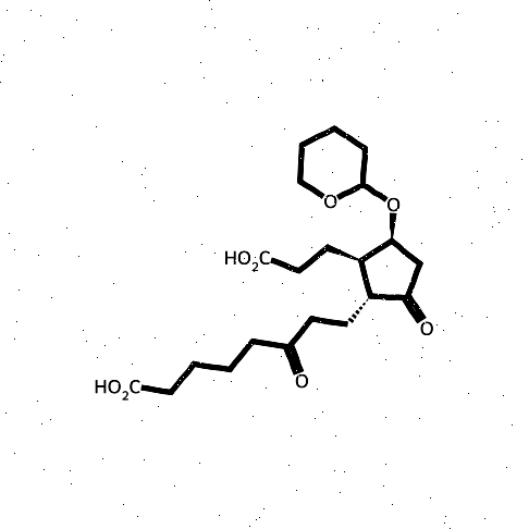 O=C(O)CCCCC(=O)CC[C@H]1C(=O)C[C@H](OC2CCCCO2)[C@@H]1CCC(=O)O